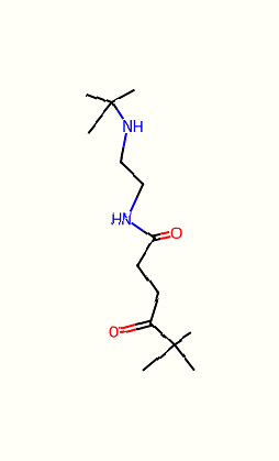 CC(C)(C)NCCNC(=O)CCC(=O)C(C)(C)C